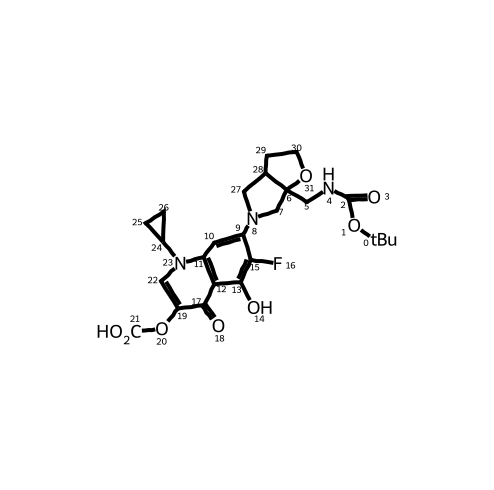 CC(C)(C)OC(=O)NCC12CN(c3cc4c(c(O)c3F)c(=O)c(OC(=O)O)cn4C3CC3)CC1CCO2